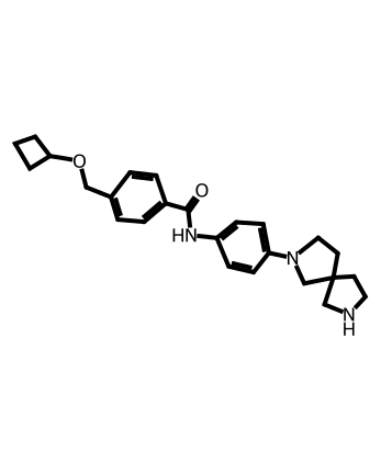 O=C(Nc1ccc(N2CCC3(CCNC3)C2)cc1)c1ccc(COC2CCC2)cc1